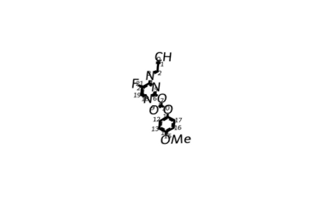 C#C/C=N/c1nc(OC(=O)Oc2ccc(OC)cc2)ncc1F